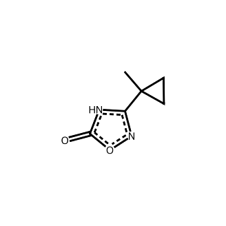 CC1(c2noc(=O)[nH]2)CC1